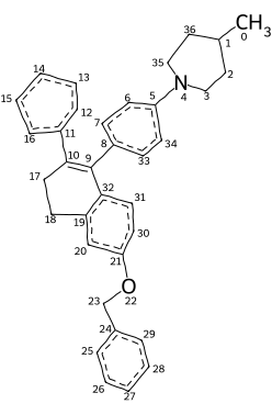 CC1CCN(c2ccc(C3=C(c4ccccc4)CCc4cc(OCc5ccccc5)ccc43)cc2)CC1